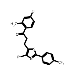 Cc1cc([O])ccc1C(=O)CCc1sc(-c2ccc(C(F)(F)F)cc2)nc1C(C)C